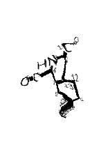 O=C=c1[nH]c(=C=O)c2cc(F)ccc12